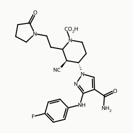 N#C[C@H]1C(CCN2CCCC2=O)N(C(=O)O)CC[C@@H]1n1cc(C(N)=O)c(Nc2ccc(F)cc2)n1